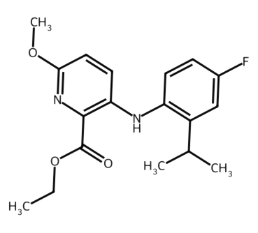 CCOC(=O)c1nc(OC)ccc1Nc1ccc(F)cc1C(C)C